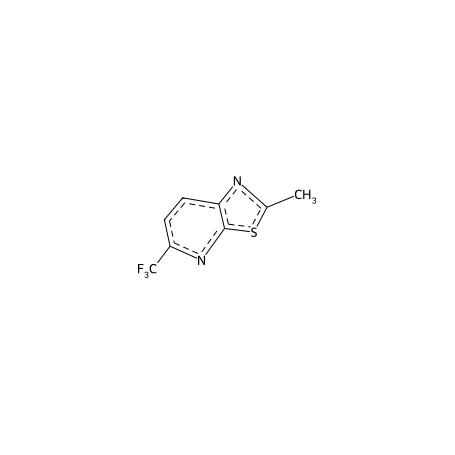 Cc1nc2ccc(C(F)(F)F)nc2s1